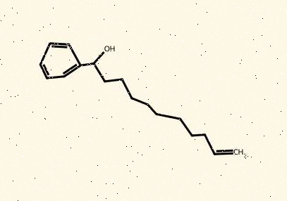 C=CCCCCCCCCC(O)c1ccccc1